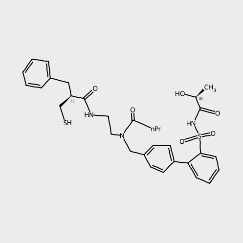 CCCC(=O)N(CCNC(=O)[C@@H](CS)Cc1ccccc1)Cc1ccc(-c2ccccc2S(=O)(=O)NC(=O)[C@H](C)O)cc1